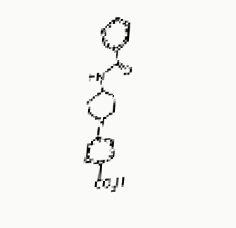 O=C(O)c1ccc(N2CCC(NC(=O)c3ccccc3)CC2)cc1